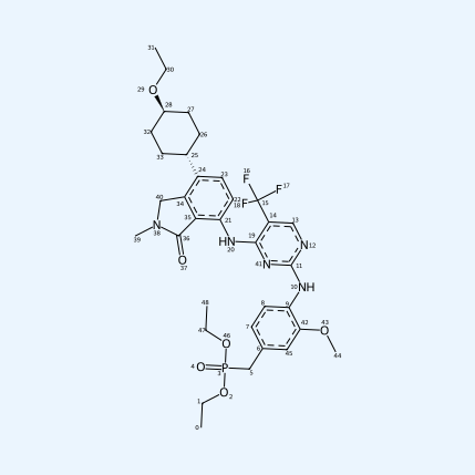 CCOP(=O)(Cc1ccc(Nc2ncc(C(F)(F)F)c(Nc3ccc([C@H]4CC[C@H](OCC)CC4)c4c3C(=O)N(C)C4)n2)c(OC)c1)OCC